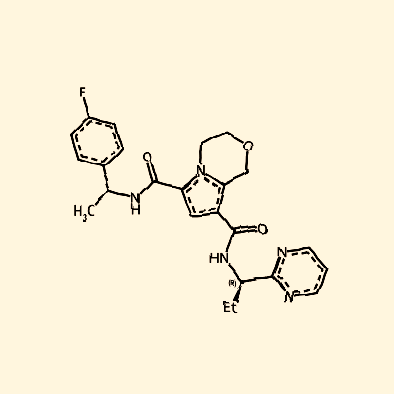 CC[C@@H](NC(=O)c1cc(C(=O)NC(C)c2ccc(F)cc2)n2c1COCC2)c1ncccn1